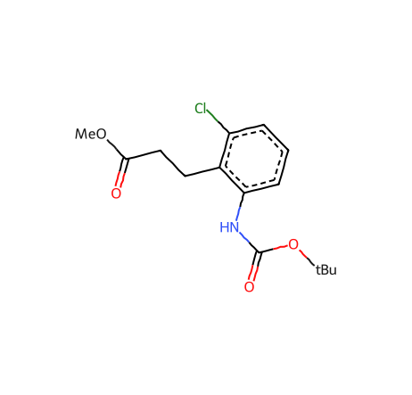 COC(=O)CCc1c(Cl)cccc1NC(=O)OC(C)(C)C